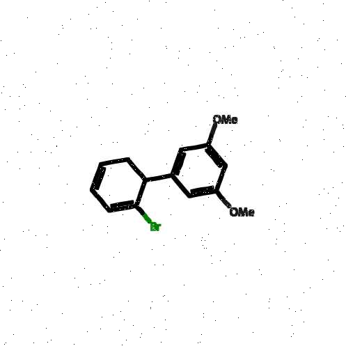 COc1cc(OC)cc(C2CC=CC=C2Br)c1